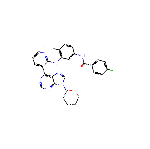 Cc1ccc(NC(=O)c2ccc(Cl)cc2)cc1Nc1ncccc1-c1ncnc2c1ncn2C1CCCCO1